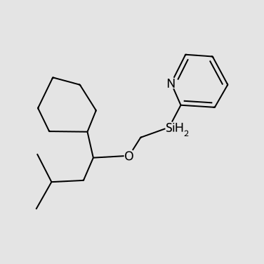 CC(C)CC(OC[SiH2]c1ccccn1)C1CCCCC1